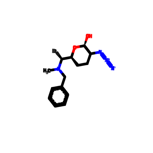 CC[C@@H]([C@@H]1CCC(N=[N+]=[N-])[C@@H](O)O1)N(C)Cc1ccccc1